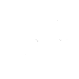 Cc1cc2[nH]c(=O)c3cnn(C4CCOCC4)c3c2cc1C(=O)NCCN(C)C1CCCCC1